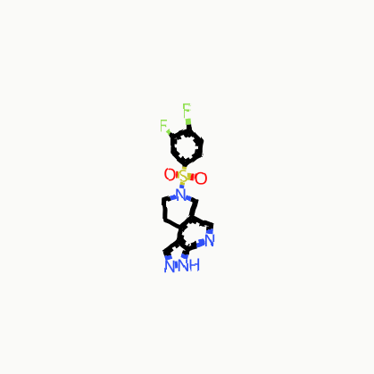 O=S(=O)(c1ccc(F)c(F)c1)N1CCc2c(cnc3[nH]ncc23)C1